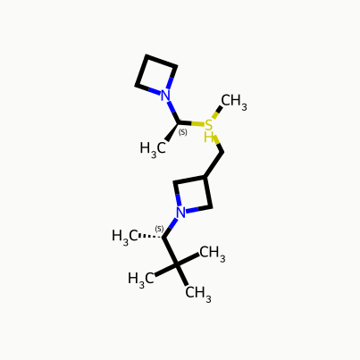 C[C@H](N1CC(C[SH](C)[C@@H](C)N2CCC2)C1)C(C)(C)C